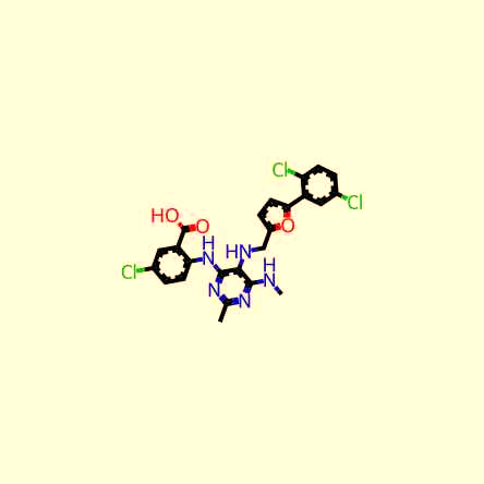 CNc1nc(C)nc(Nc2ccc(Cl)cc2C(=O)O)c1NCc1ccc(-c2cc(Cl)ccc2Cl)o1